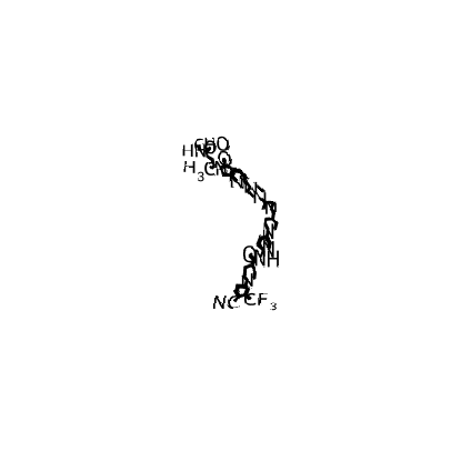 CC(CCC(=O)NC=O)N1Cc2nc(N3CCN(C4CN(CC5CCN(c6ccc(NC(=O)C7CCN(c8ccc(C#N)c(C(F)(F)F)c8)CC7)nc6)CC5)C4)CC3)ccc2C1=O